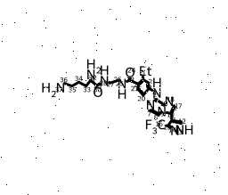 CCc1cc(Nc2nccn3c(-c4c[nH]nc4C(F)(F)F)cnc23)ccc1C(=O)NCCNC(=O)C(N)CCCCN